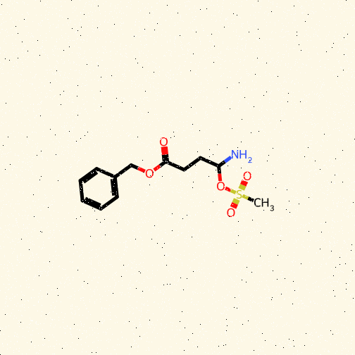 CS(=O)(=O)OC(N)CCC(=O)OCc1ccccc1